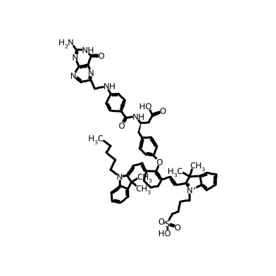 CCCCCN1/C(=C/C=C2\CCCC(/C=C/C3=[N+](CCCCS(=O)(=O)O)c4ccccc4C3(C)C)=C2Oc2ccc(C[C@H](CC(=O)O)NC(=O)c3ccc(NCc4cnc5nc(N)[nH]c(=O)c5n4)cc3)cc2)C(C)(C)c2ccccc21